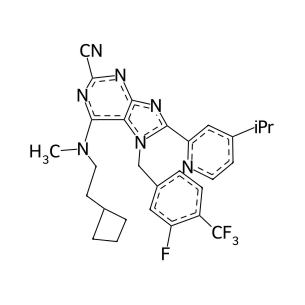 CC(C)c1ccnc(-c2nc3nc(C#N)nc(N(C)CCC4CCC4)c3n2Cc2ccc(C(F)(F)F)c(F)c2)c1